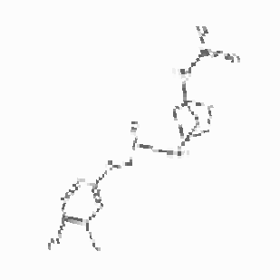 O=C(O)NC12CCC(NC(=O)COc3ccc(Cl)c(F)c3)(C1)C2